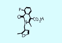 Cc1occc1Cn1c(C)c(C(=O)O)c2cccc(F)c2c1=O